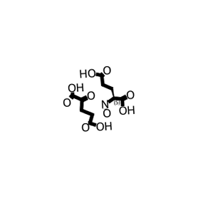 O=C(O)CCC(=O)C(=O)O.O=N[C@@H](CCC(=O)O)C(=O)O